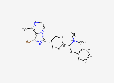 Cc1nccn2c1c(Br)nc2[C@H]1CC[C@H](C(Cc2ccccc2)N(C)C(=O)O)CC1